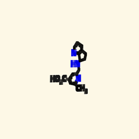 Cc1cc(C(=O)O)cc(CNC2CCc3cccnc32)n1